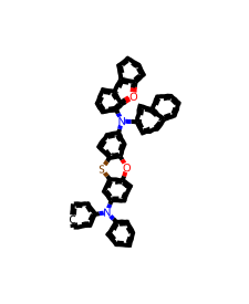 c1ccc(N(c2ccccc2)c2ccc3c(c2)Sc2ccc(N(c4ccc5ccccc5c4)c4cccc5c4oc4ccccc45)cc2O3)cc1